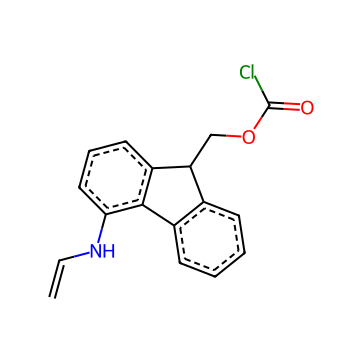 C=CNc1cccc2c1-c1ccccc1C2COC(=O)Cl